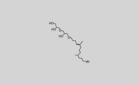 CC(=CCCCOCC(O)COCC(O)CO)CCCC(C)CCCC(C)C